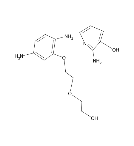 Nc1ccc(N)c(OCCOCCO)c1.Nc1ncccc1O